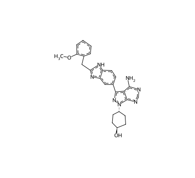 COc1ccccc1Cc1nc2cc(-c3nn([C@H]4CC[C@H](O)CC4)c4ncnc(N)c34)ccc2[nH]1